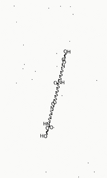 O=C(NCSCSCSC/N=C/OOCSCSCSCSC(=O)NCSCSCSC/N=C/OOCCCO)OCCCO